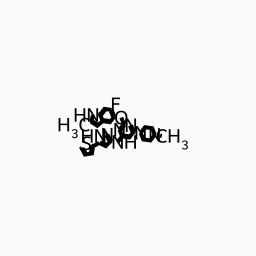 Cc1cc2cc(Oc3nc(Nc4cc(-c5cccs5)[nH]n4)cc(N4CCN(C)CC4)n3)c(F)cc2[nH]1